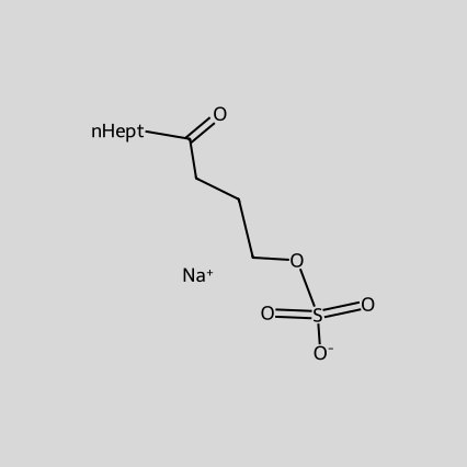 CCCCCCCC(=O)CCCOS(=O)(=O)[O-].[Na+]